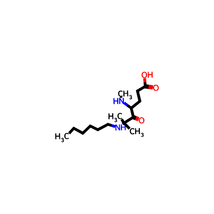 CCCCCCNC(C)(C)C(=O)C(CCC(=O)O)NC